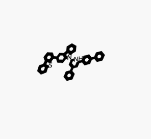 C1=CC(c2cccc3c2sc2ccccc23)Cc2c1n(C1C=C(c3ccccc3)C=C(c3ccc(-c4ccccc4)cc3)N1)c1ccccc21